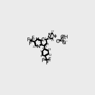 CC(C=C(c1ccc(C(F)(F)F)cc1)c1ccc(C(F)(F)F)cn1)n1cncn1.O=[N+]([O-])O